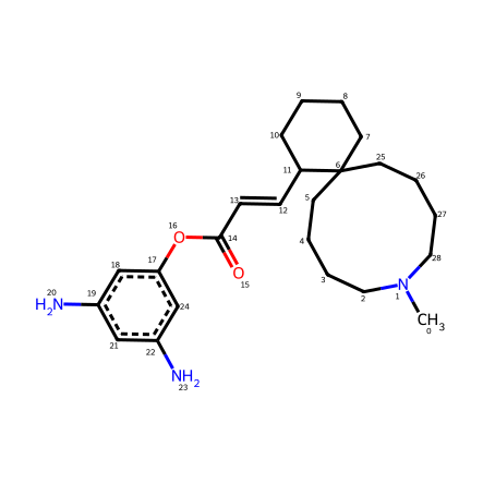 CN1CCCCC2(CCCCC2/C=C/C(=O)Oc2cc(N)cc(N)c2)CCCC1